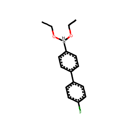 CCO[SiH](OCC)c1ccc(-c2ccc(F)cc2)cc1